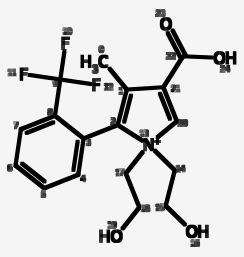 CC1=C(c2ccccc2C(F)(F)F)[N+](CCO)(CCO)C=C1C(=O)O